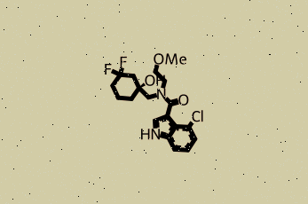 COCCN(C[C@]1(O)CCCC(F)(F)C1)C(=O)c1c[nH]c2cccc(Cl)c12